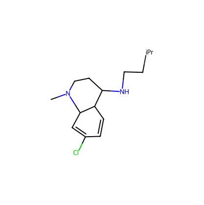 CC(C)CCNC1CCN(C)C2C=C(Cl)C=CC12